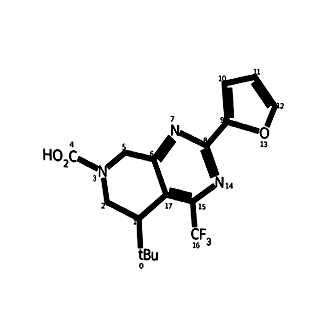 CC(C)(C)C1CN(C(=O)O)Cc2nc(-c3ccco3)nc(C(F)(F)F)c21